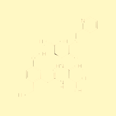 C=C(O)C[C@H](NC(=C)[C@@H](NC(=O)Cc1cc(OC)ccc1CC)C(C)C)C(=O)CSCc1ccccn1